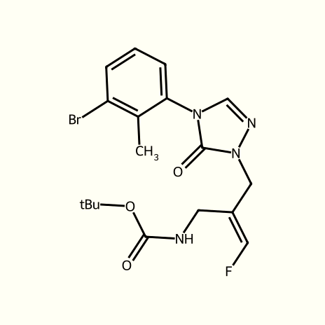 Cc1c(Br)cccc1-n1cnn(CC(=CF)CNC(=O)OC(C)(C)C)c1=O